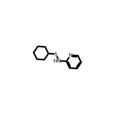 c1ccc(NSC2CCCCC2)nc1